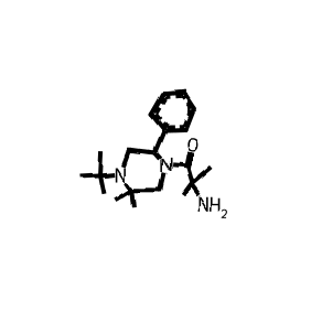 CC(C)(N)C(=O)N1CC(C)(C)N(C(C)(C)C)CC1c1ccccc1